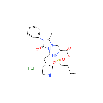 CCCCS(=O)(=O)NC(CN1C(C)N(c2ccccc2)C(=O)N1CCC1CCNCC1)C(=O)OC.Cl